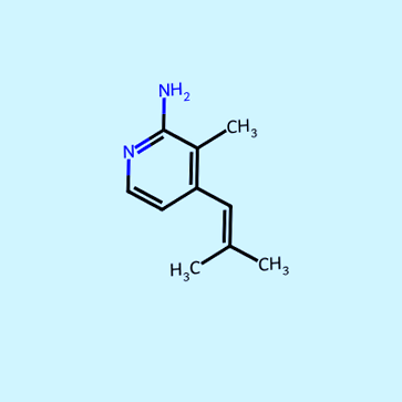 CC(C)=Cc1ccnc(N)c1C